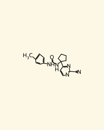 Cc1ccc(NC(=O)NC2(c3ccnc(C#N)n3)CCCC2)cc1